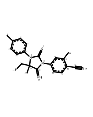 Cc1ccc(N2C(=S)N(c3ccc(C#N)c(C)c3)C(=N)C2(C)CF)cc1